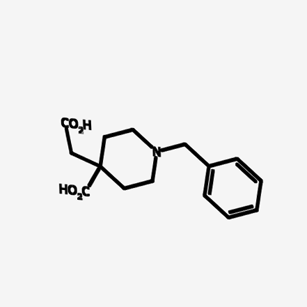 O=C(O)CC1(C(=O)O)CCN(Cc2ccccc2)CC1